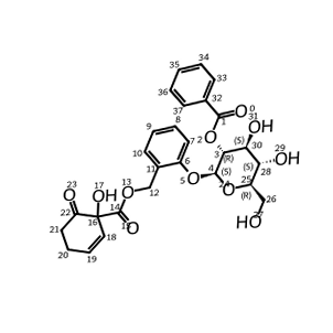 O=C(O[C@H]1[C@H](Oc2ccccc2COC(=O)C2(O)C=CCCC2=O)O[C@H](CO)[C@@H](O)[C@@H]1O)c1ccccc1